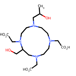 CC(O)CN1CCN(CC(=O)O)CCN(CC(=O)O)CC(CO)N(CC(=O)O)CC1